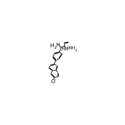 C=CC(NN)C(N)c1ccc(-c2ccc3cc(Cl)ccc3c2)cc1